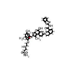 Cc1c(-c2ccc(N3CCc4cccc(C(=O)Nc5nc6ccccc6s5)c4C3)nc2C(=O)O)cnn1CC12CC3(C)CC(C)(C1)CC(OCCNCCS(N)(=O)=O)(C3)C2